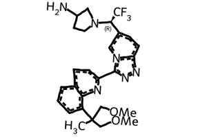 COCC(C)(COC)c1cccc2ccc(-c3nnc4ccc([C@@H](N5CCC(N)C5)C(F)(F)F)cn34)nc12